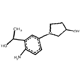 CC(O)c1cc(N2CCC(O)C2)ccc1N